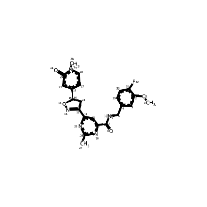 COc1cc(CNC(=O)c2cc(C3=NO[C@@H](c4ccn(C)c(=O)c4)C3)nc(C)n2)ccc1F